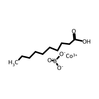 CCCCCCCCCC(=O)O.[Co+3].[O-]B([O-])[O-]